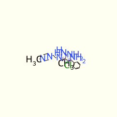 C/C(NCCN1CCN(C)CC1)=C(C(=N)N)\C(Cl)=C(/N)c1ccccc1